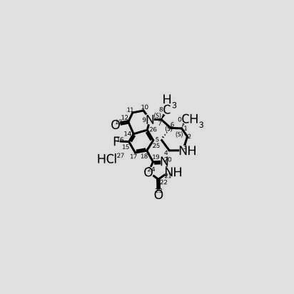 C[C@@H]1CNCC[C@@H]1[C@H](C)N1CCC(=O)c2c(F)cc(-c3n[nH]c(=O)o3)cc21.Cl